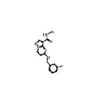 CC(C)NC(=O)c1cnn2ccc(NCc3cccc(F)c3)nc12